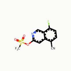 N#Cc1ccc(F)c2cnc(OS(=O)(=O)C(F)(F)F)cc12